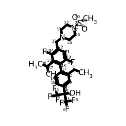 CCc1cc(C(O)(C(F)(F)F)C(F)(F)F)ccc1-c1c(F)cc(CN2CCN(S(C)(=O)=O)CC2)c(F)c1C(C)C